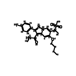 CCCCOc1cc2c(C(=O)NC)c(-c3ccc(F)cc3)nn2cc1N(C)S(C)(=O)=O